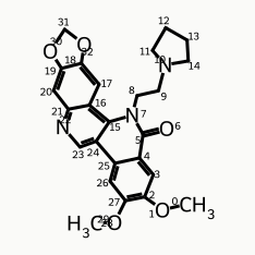 COc1cc2c(=O)n(CCN3CCCC3)c3c4cc5c(cc4ncc3c2cc1OC)OCO5